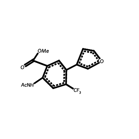 COC(=O)c1cc(-c2ccoc2)c(C(F)(F)F)cc1NC(C)=O